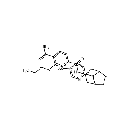 CC(=O)c1ccc(N2C3CCC2CC(NC(=O)c2ccc(C(N)=O)c(NCCC(F)(F)F)c2)C3)nc1